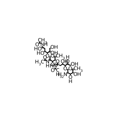 CC(=O)N[C@H]1C(OC(C(O)C[C@H](O)NC(C)=O)[C@@H](O)CO)O[C@H](C)C(O[C@@H](CC(O)C(OC2O[C@H](C)C(O)C(O)C2N)[C@@H](O)CO)NC(C)=O)C1O